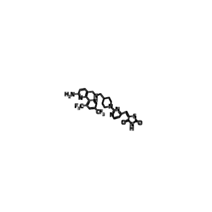 Nc1ccc(CNCC2CCN(c3nccc(/C=C4/SC(=O)NC4=O)n3)CC2)c(-c2ccc(C(F)(F)F)cc2C(F)(F)F)n1